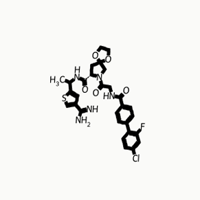 CC(NC(=O)[C@@H]1CC2(CN1C(=O)CNC(=O)c1ccc(-c3ccc(Cl)cc3F)cc1)OCCO2)c1cc(C(=N)N)cs1